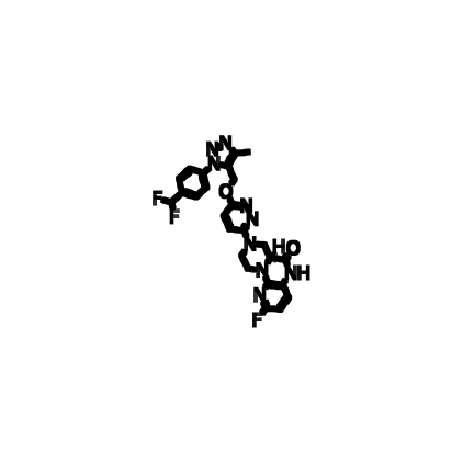 Cc1nnn(-c2ccc(C(F)F)cc2)c1COc1ccc(N2CCN3c4nc(F)ccc4NC(=O)[C@@H]3C2)nn1